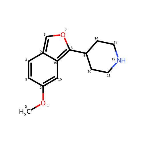 COc1ccc2coc(C3CCNCC3)c2c1